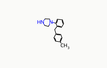 Cc1ccc(Cc2ccccc2N2CCNCC2)cc1